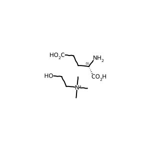 C[N+](C)(C)CCO.N[C@@H](CCC(=O)O)C(=O)O